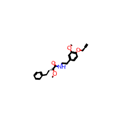 C#CCOc1ccc(CCNC(=O)[C@@H](CCc2ccccc2)OC)cc1OC